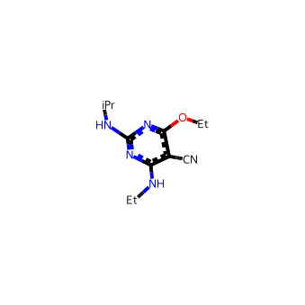 CCNc1nc(NC(C)C)nc(OCC)c1C#N